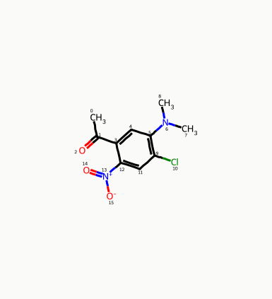 CC(=O)c1cc(N(C)C)c(Cl)cc1[N+](=O)[O-]